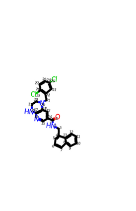 O=C(NCc1cccc2ccccc12)c1cnc2c(c1)N(Cc1cc(Cl)ccc1Cl)CCN2